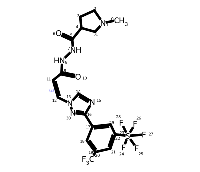 CN1CCC(C(=O)NNC(=O)/C=C\n2cnc(-c3cc(C(F)(F)F)cc(S(F)(F)(F)(F)F)c3)n2)C1